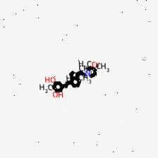 C=C1[C@H](O)CC(=CC=C2CCC[C@]3(C)[C@@H]([C@H](C)CN4CCCC(C)(OC)C4)CC[C@@H]23)C[C@H]1O